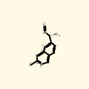 C[C@@H](N=O)c1ccc2cnc(Cl)cc2c1